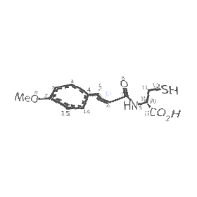 COc1ccc(/C=C/C(=O)N[C@@H](CS)C(=O)O)cc1